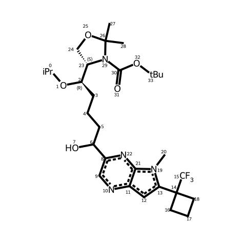 CC(C)O[C@H](CCCC(O)c1cnc2cc(C3(C(F)(F)F)CCC3)n(C)c2n1)[C@@H]1COC(C)(C)N1C(=O)OC(C)(C)C